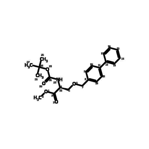 COC(=O)[C@H](COCc1ccc(-c2ccccc2)cc1)NC(=O)OC(C)(C)C